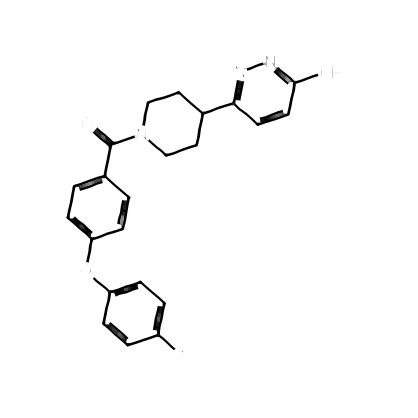 CC(=O)c1ccc(Oc2ccc(C(=O)N3CCC(c4ccc(C)nn4)CC3)cc2)cc1